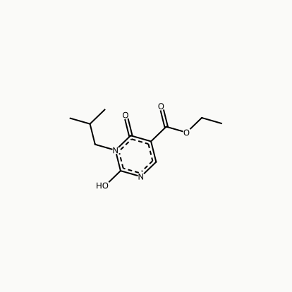 CCOC(=O)c1cnc(O)n(CC(C)C)c1=O